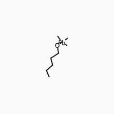 CCCCC[O][Pb]([CH3])([CH3])[CH3]